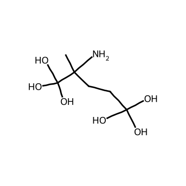 CC(N)(CCC(O)(O)O)C(O)(O)O